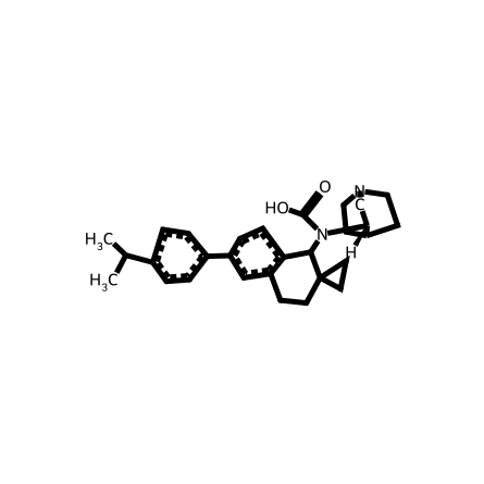 CC(C)c1ccc(-c2ccc3c(c2)CCC2(CC2)C3N(C(=O)O)[C@@H]2CN3CCC2CC3)cc1